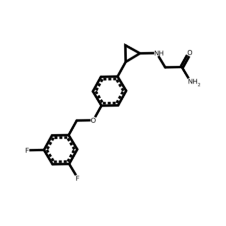 NC(=O)CNC1CC1c1ccc(OCc2cc(F)cc(F)c2)cc1